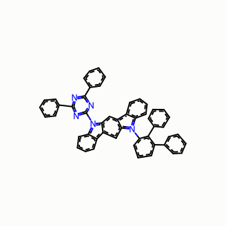 c1ccc(-c2nc(-c3ccccc3)nc(-n3c4ccccc4c4cc5c(cc43)c3ccccc3n5-c3cccc(-c4ccccc4)c3-c3ccccc3)n2)cc1